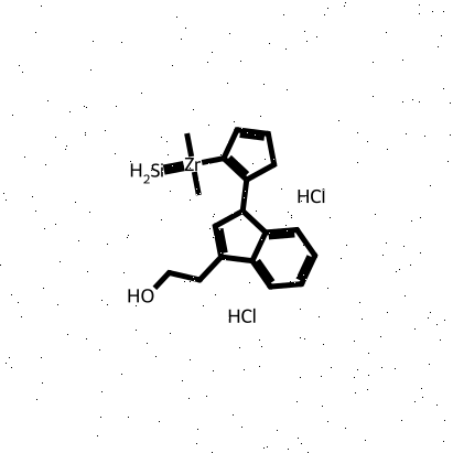 Cl.Cl.[CH3][Zr]([CH3])(=[SiH2])[C]1=C(C2C=C(CCO)c3ccccc32)CC=C1